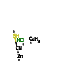 Cl.N#CS.[CaH2].[Zn]